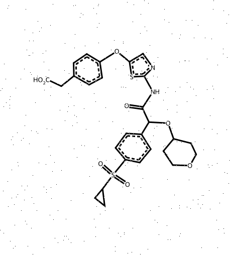 O=C(O)Cc1ccc(Oc2cnc(NC(=O)C(OC3CCOCC3)c3ccc(S(=O)(=O)C4CC4)cc3)s2)cc1